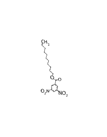 C=CCCCCCCCCCOC(=O)c1cc([N+](=O)[O-])cc([N+](=O)[O-])c1